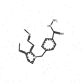 C/C=c1/ccn(Cc2ccc(C(=N)NN)cc2)/c1=C/C=N/C